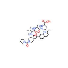 CCc1ccc2ccc(/C=C/C3(C(=O)NC(C(=O)NC(C)C(=O)N4CCCC(C(=O)O)N4)C(C)C)CCN(C(=O)N4CCCC4)CC3)cc2n1